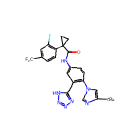 CC(C)(C)c1cn(-c2ccc(NC(=O)C3(c4ccc(C(F)(F)F)cc4F)CC3)cc2-c2nnn[nH]2)cn1